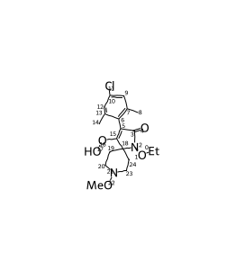 CCON1C(=O)C(c2c(C)cc(Cl)cc2C)=C(OO)C12CCN(OC)CC2